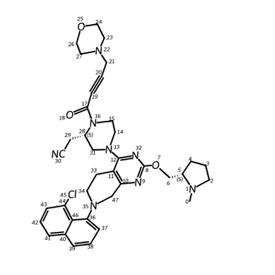 CN1CCC[C@H]1COc1nc2c(c(N3CCN(C(=O)C#CCN4CCOCC4)[C@@H](CC#N)C3)n1)CCN(c1cccc3cccc(Cl)c13)C2